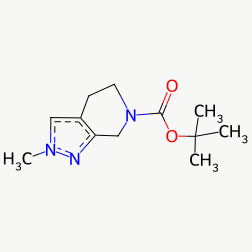 Cn1cc2c(n1)CN(C(=O)OC(C)(C)C)CC2